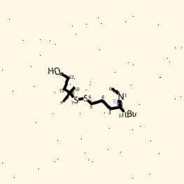 C/N=C(\CCCSSC(C)(C)CCO)C(C)(C)C